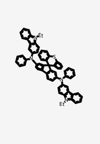 CCn1c2ccccc2c2cc(N(c3ccccc3)c3ccc4c(c3)C3(c5ccccc5Sc5ccccc53)c3cc(N(c5ccccc5)c5ccc6c(c5)c5ccccc5n6CC)ccc3-4)ccc21